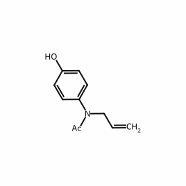 C=CCN(C(C)=O)c1ccc(O)cc1